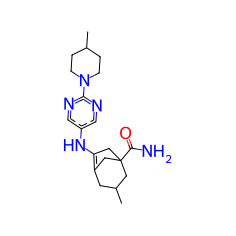 CC1CCN(c2ncc(NC3=C4CC(C)CC(C(N)=O)(C4)C3)cn2)CC1